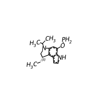 CC[C@@H]1CN(C(C)C)c2cc(OP)c3[nH]ccc3c21